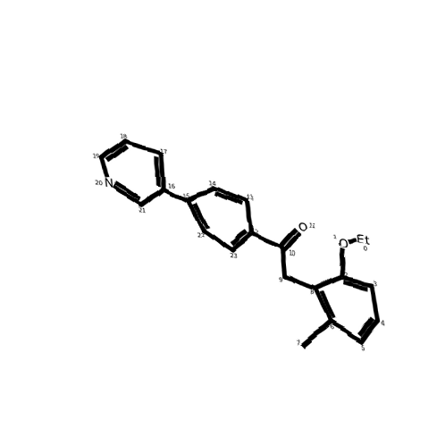 CCOc1cccc(C)c1CC(=O)c1ccc(-c2cccnc2)cc1